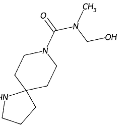 CN(CO)C(=O)N1CCC2(CCCN2)CC1